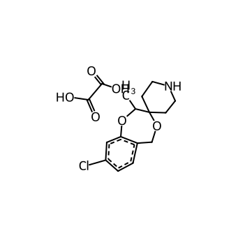 CC1Oc2cc(Cl)ccc2COC12CCNCC2.O=C(O)C(=O)O